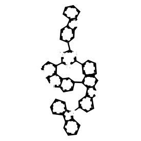 c1ccc(-c2nc(-c3ccc4c(c3)oc3ccccc34)nc(-c3cccc4oc5ccc(-c6cccc7sc8ccc(-n9c%10ccccc%10c%10ccccc%109)cc8c67)cc5c34)n2)cc1